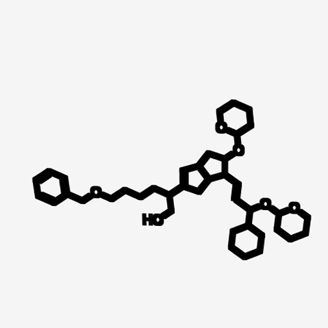 OCC(CCCCOCc1ccccc1)C1=CC2CC(OC3CCCCO3)C(C=CC(OC3CCCCO3)C3CCCCC3)C2C1